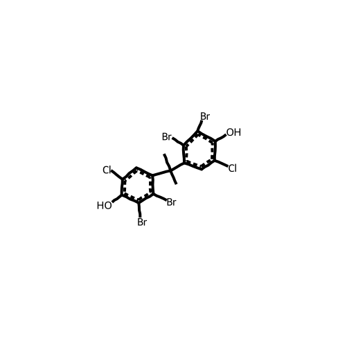 CC(C)(c1cc(Cl)c(O)c(Br)c1Br)c1cc(Cl)c(O)c(Br)c1Br